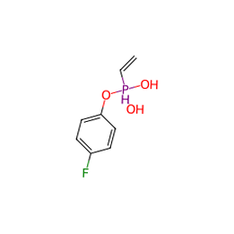 C=C[PH](O)(O)Oc1ccc(F)cc1